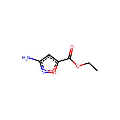 CCOC(=O)c1cc(N)no1